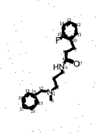 CN(CCCNC(=O)CCc1ccccc1F)Cc1ccccc1